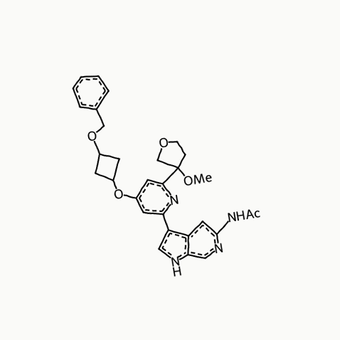 COC1(c2cc(OC3CC(OCc4ccccc4)C3)cc(-c3c[nH]c4cnc(NC(C)=O)cc34)n2)CCOC1